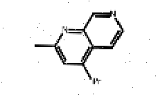 Cc1cc(C(C)C)c2ccncc2n1